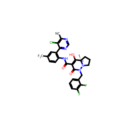 C[C@]12CCCN1N(Cc1cccc(F)c1F)C(=O)C(C(=O)Nc1ccc(C(F)(F)F)cc1-c1ncnc(C#N)c1Cl)=C2O